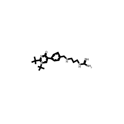 CC(C)(C)c1nc(=O)c(-c2ccc(CNCCCNC(=N)N)cc2)cn1C(C)(C)C